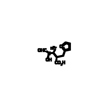 CCC[C@@H]([C@@H](Cc1ccco1)C(=O)O)N(O)C=O